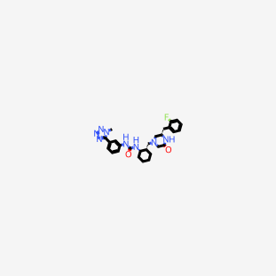 Cn1nnnc1-c1cccc(NC(=O)N[C@@H]2CCCC[C@H]2CN2CC(=O)N[C@@H](Cc3ccccc3F)C2)c1